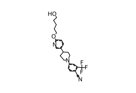 N#Cc1ccc(N2CCC(c3ccc(OCCCCCO)nc3)CC2)cc1C(F)(F)F